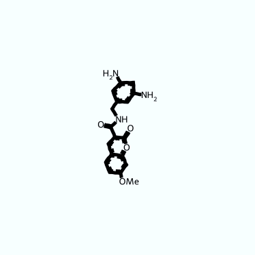 COc1ccc2cc(C(=O)NCc3cc(N)cc(N)c3)c(=O)oc2c1